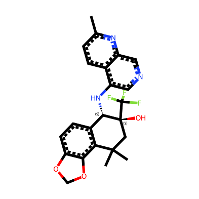 Cc1ccc2c(N[C@H]3c4ccc5c(c4C(C)(C)C[C@@]3(O)C(F)(F)F)OCO5)cncc2n1